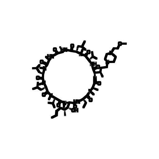 C/C=C/C[C@@H](C)[C@@H](O)[C@H]1C(=O)N[C@@H](CC)C(=O)N(C)[C@H](C)C(=O)N[C@@H]([C@H](C)CCN2CCN(CCOC)CC2)C(=O)N[C@@H](C(C)C)C(=O)N(C)[C@@H](CC(C)C)C(=O)N[C@@H](C)C(=O)N[C@H](C)C(=O)N(C)[C@@H](CC(C)C)C(=O)N(C)[C@@H](CC(C)C)C(=O)N(C)[C@@H](C(C)C)C(=O)N1C